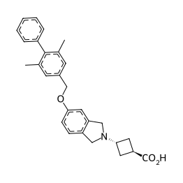 Cc1cc(COc2ccc3c(c2)CN([C@H]2C[C@H](C(=O)O)C2)C3)cc(C)c1-c1ccccc1